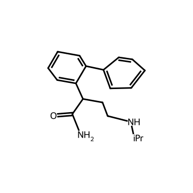 CC(C)NCCC(C(N)=O)c1ccccc1-c1ccccc1